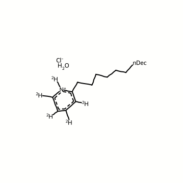 O.[2H]c1c([2H])c([2H])[n+]([2H])c(CCCCCCCCCCCCCCCC)c1[2H].[Cl-]